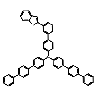 c1ccc(-c2ccc(-c3ccc(N(c4ccc(-c5ccc(-c6ccccc6)cc5)cc4)c4ccc(-c5cccc(-c6cc7ccccc7o6)c5)cc4)cc3)cc2)cc1